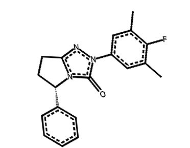 Cc1cc(-n2nc3n(c2=O)[C@H](c2ccccc2)CC3)cc(C)c1F